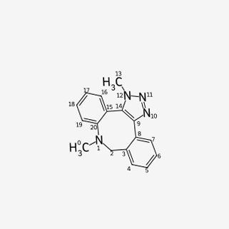 CN1Cc2ccccc2-c2nnn(C)c2-c2ccccc21